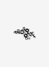 C=CCN1C[C@H](C)N(C(c2cccc(O)c2)c2cccc(C(=O)N3CCCN(CC(=O)OCC)CC3)c2)C[C@H]1C